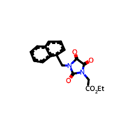 CCOC(=O)CN1C(=O)C(=O)N(Cc2cccc3ccccc23)C1=O